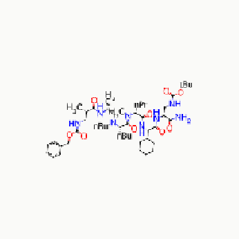 CCCC[C@@H](C(=O)N(C)[C@@H](CCC)C(=O)N[C@H](C(=O)N[C@@H](CNC(=O)OC(C)(C)C)C(N)=O)C1CCCCC1)N(CCCC)C[C@@H](C)NC(=O)[C@@H](C)CNC(=O)OCc1ccccc1